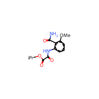 COc1cccc(NC(=O)C(=O)OC(C)C)c1C(N)=O